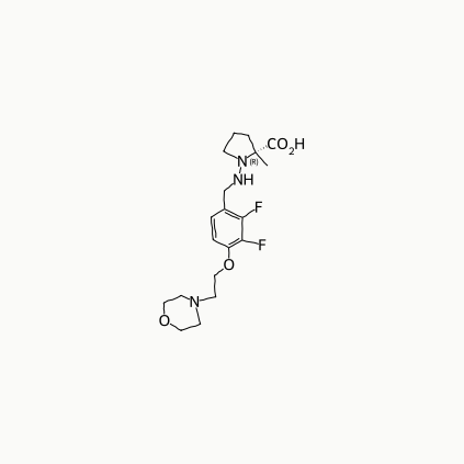 C[C@]1(C(=O)O)CCCN1NCc1ccc(OCCN2CCOCC2)c(F)c1F